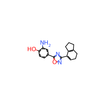 Nc1cc(-c2nc(C3=CCCC4=C3CCC4)no2)ccc1O